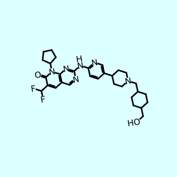 O=c1c(C(F)F)cc2cnc(Nc3ccc(C4CCN(CC5CCC(CO)CC5)CC4)cn3)nc2n1C1CCCC1